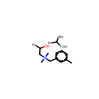 CCC(O)C[N+](C)(C)Cc1cccc(C)c1.CCCCC(CC)C(=O)[O-]